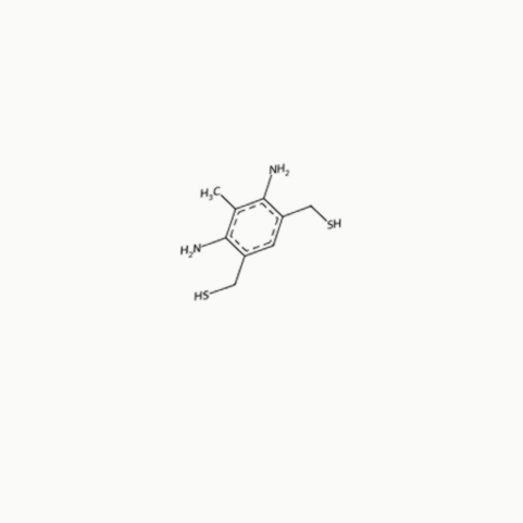 Cc1c(N)c(CS)cc(CS)c1N